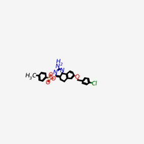 Cc1ccc(S(=O)(=O)Oc2nc(N)nc3c2CCc2cc(OCc4ccc(Cl)cc4)ccc2-3)cc1